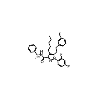 CCCCCc1c(C(=O)N[C@H](C)c2ccccc2)nn(-c2ccc(F)cc2F)c1CCc1cccc(F)c1